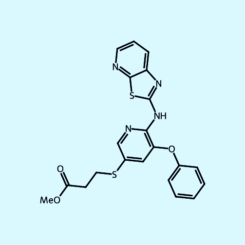 COC(=O)CCSc1cnc(Nc2nc3cccnc3s2)c(Oc2ccccc2)c1